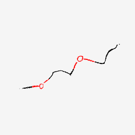 [CH2]COCCO[CH2]